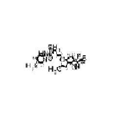 CCCc1c(OCCCN(C)C(=O)Nc2ccc(C)cn2)ccc2c(C(F)(F)F)noc12